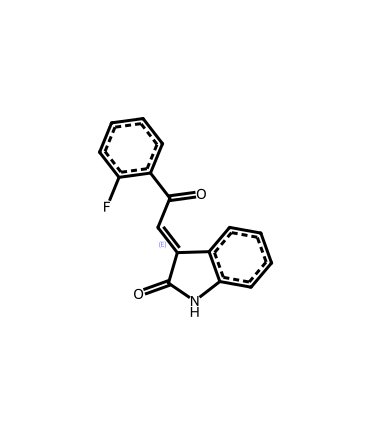 O=C1Nc2ccccc2/C1=C\C(=O)c1ccccc1F